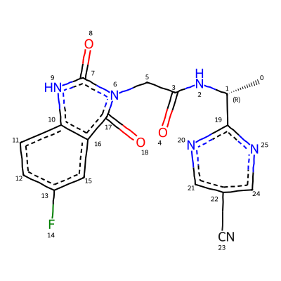 C[C@@H](NC(=O)Cn1c(=O)[nH]c2ccc(F)cc2c1=O)c1ncc(C#N)cn1